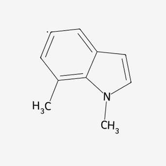 Cc1c[c]cc2ccn(C)c12